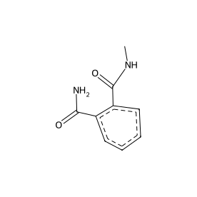 CNC(=O)c1ccccc1C(N)=O